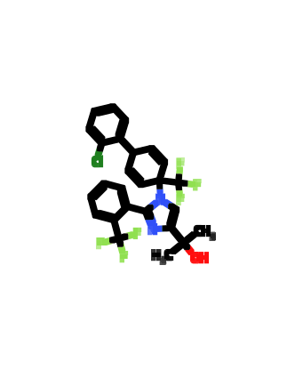 CC(C)(O)c1cn(C2(C(F)(F)F)C=CC(c3ccccc3Cl)C=C2)c(-c2ccccc2C(F)(F)F)n1